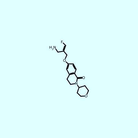 NC/C(=C\F)COc1ccc2c(c1)CCN(C1CCOCC1)C2=O